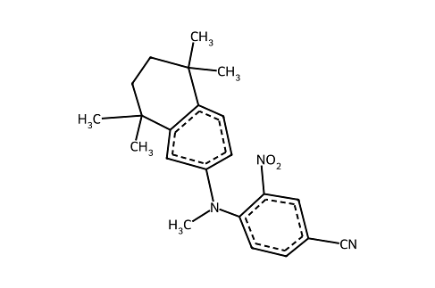 CN(c1ccc2c(c1)C(C)(C)CCC2(C)C)c1ccc(C#N)cc1[N+](=O)[O-]